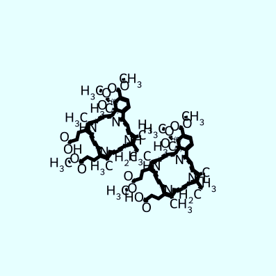 C=Cc1c(C)c2cc3nc(cc4[nH]c(cc5nc(cc1[nH]2)C(C)=C5CCC(=O)O)c(CCC(=O)OC)c4C)[C@@]1(C)C3=CC=C(C(=O)OC)[C@H]1C(=O)OC.C=Cc1c(C)c2cc3nc(cc4[nH]c(cc5nc(cc1[nH]2)C(C)=C5CCC(=O)OC)c(CCC(=O)O)c4C)[C@@]1(C)C3=CC=C(C(=O)OC)[C@H]1C(=O)OC